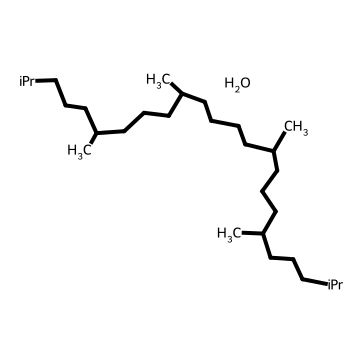 CC(C)CCCC(C)CCCC(C)CCCCC(C)CCCC(C)CCCC(C)C.O